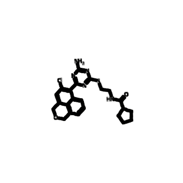 Nc1nc(SCCNC(=O)C2CCCC2)nc(-c2c(Cl)cc3c4c(cccc24)COC3)n1